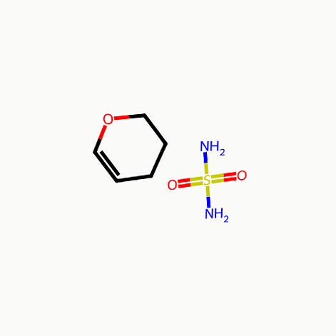 C1=COCCC1.NS(N)(=O)=O